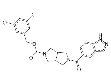 O=C(OCc1cc(Cl)cc(Cl)c1)N1CC2CN(C(=O)c3ccc4[nH]ncc4c3)CC2C1